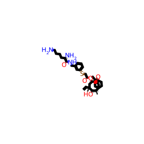 C=C[C@]1(C)C[C@@H](OC(=O)CSc2cccc(CNC(=O)[C@H](N)CCCCN)c2)[C@]2(C)C(C)CC34CC(CCC3=O)(C42)[C@@H](C)[C@@H]1O